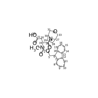 CN(C(=O)OCC1c2ccccc2-c2ccccc21)C(CC(=O)O)C(=O)N1C2CCC1COC2